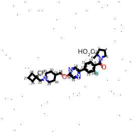 C[C@@]1(C(=O)O)CCCN1C(=O)c1ccc(-c2cnc(OCC3CCN(CC4(C(F)(F)F)CCC4)CC3)cn2)cc1F